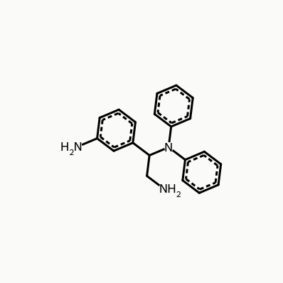 NCC(c1cccc(N)c1)N(c1ccccc1)c1ccccc1